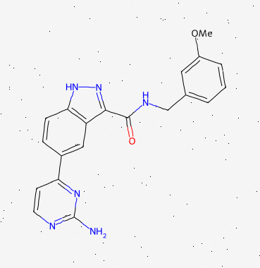 COc1cccc(CNC(=O)c2n[nH]c3ccc(-c4ccnc(N)n4)cc23)c1